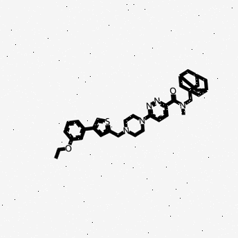 CCOc1cccc(-c2csc(CN3CCN(c4ccc(C(=O)N(C)CC56CC7CC(CC(C7)C5)C6)nn4)CC3)c2)c1